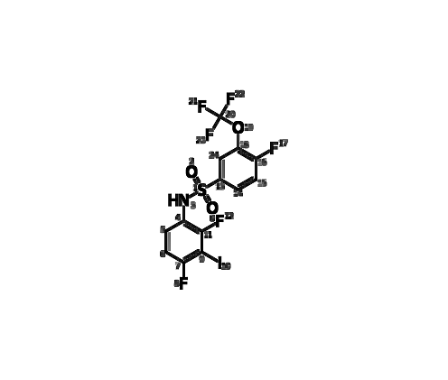 O=S(=O)(Nc1ccc(F)c(I)c1F)c1ccc(F)c(OC(F)(F)F)c1